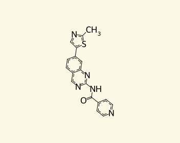 Cc1ncc(-c2ccc3cnc(NC(=O)c4ccncc4)nc3c2)s1